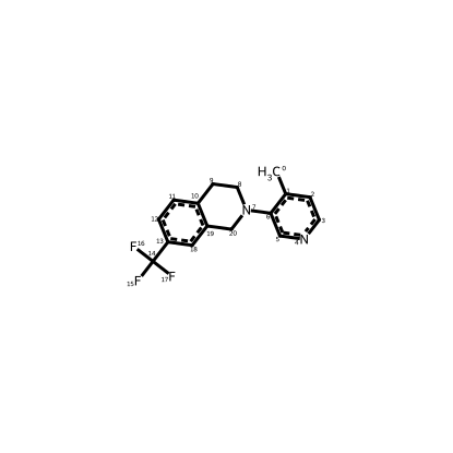 Cc1ccncc1N1CCc2ccc(C(F)(F)F)cc2C1